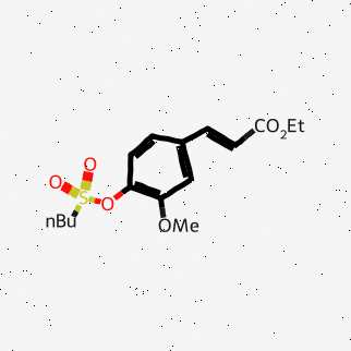 CCCCS(=O)(=O)Oc1ccc(C=CC(=O)OCC)cc1OC